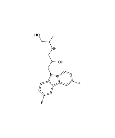 CC(CO)NCC(O)Cn1c2ccc(F)cc2c2cc(F)ccc21